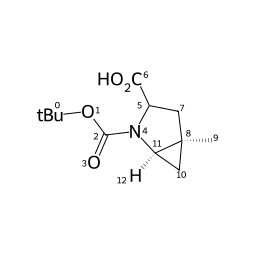 CC(C)(C)OC(=O)N1C(C(=O)O)C[C@@]2(C)C[C@@H]12